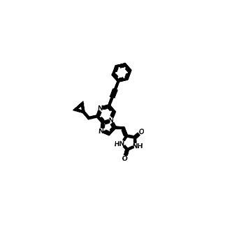 O=C1NC(=O)/C(=C/c2cnc3c(CC4CC4)nc(C#Cc4ccccc4)cn23)N1